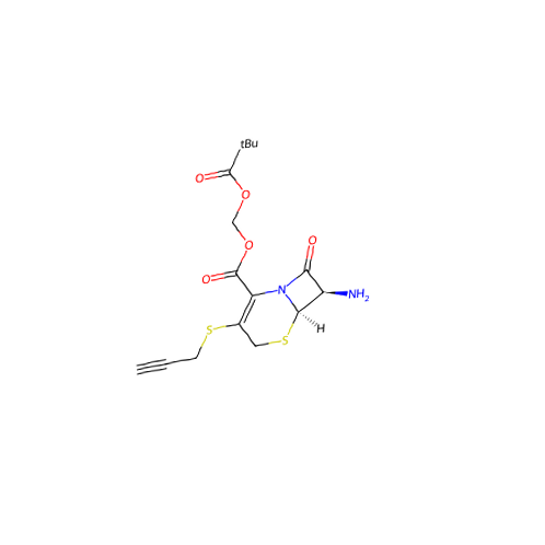 C#CCSC1=C(C(=O)OCOC(=O)C(C)(C)C)N2C(=O)[C@@H](N)[C@H]2SC1